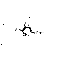 CCCCCC=CC(C)=C(C)C(C)=O